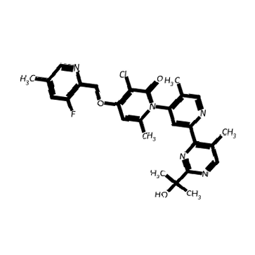 Cc1cnc(COc2cc(C)n(-c3cc(-c4nc(C(C)(C)O)ncc4C)ncc3C)c(=O)c2Cl)c(F)c1